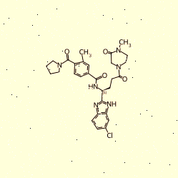 Cc1cc(C(=O)N[C@@H](CCC(=O)N2CCN(C)C(=O)C2)c2nc3ccc(Cl)cc3[nH]2)ccc1C(=O)N1CCCC1